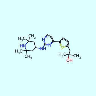 CC(C)(O)Cc1ccc(-c2ccnc(NC3CC(C)(C)NC(C)(C)C3)n2)s1